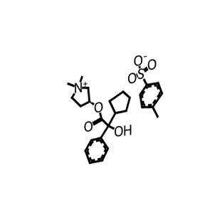 C[N+]1(C)CC[C@H](OC(=O)C(O)(c2ccccc2)C2CCCC2)C1.Cc1ccc(S(=O)(=O)[O-])cc1